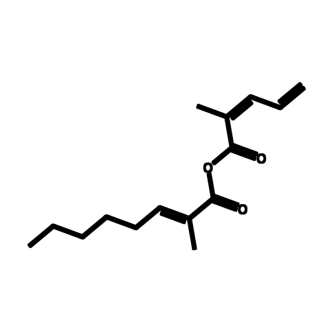 C=CC=C(C)C(=O)OC(=O)C(C)=CCCCCC